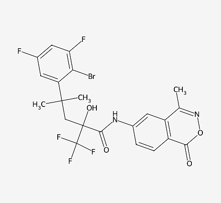 Cc1noc(=O)c2ccc(NC(=O)C(O)(CC(C)(C)c3cc(F)cc(F)c3Br)C(F)(F)F)cc12